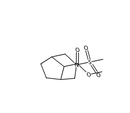 COC(=O)C1C2CCC1CN(S(C)(=O)=O)C2